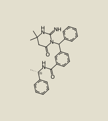 C[C@H](NC(=O)c1cccc(C(c2ccccc2)N2C(=N)NC(C)(C)CC2=O)c1)c1ccccc1